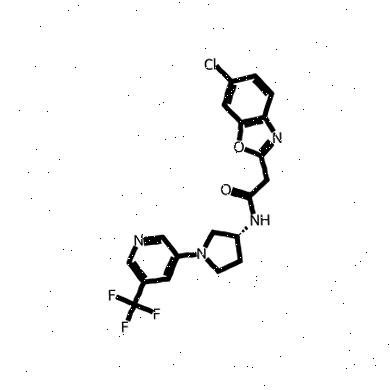 O=C(Cc1nc2ccc(Cl)cc2o1)N[C@@H]1CCN(c2cncc(C(F)(F)F)c2)C1